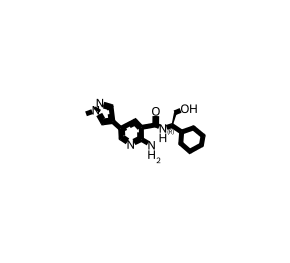 Cn1cc(-c2cnc(N)c(C(=O)N[C@@H](CO)C3CCCCC3)c2)cn1